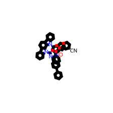 N#Cc1cccc(-c2cc(-n3c4ccccc4c4ccc5c6ccccc6n(-c6nc(-c7ccccc7)nc(-c7ccc(-c8ccccc8)cc7)n6)c5c43)cc3c2oc2ccccc23)c1